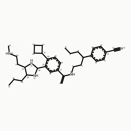 C=C(NCCC(CCC)c1ccc(C#N)cc1)c1ccc(C2CCC2)c(C2NC(CCC)C(CCNC)N2)c1